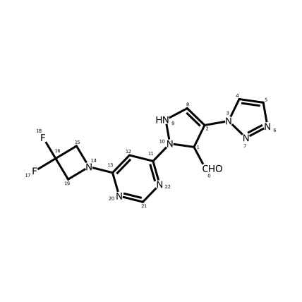 O=CC1C(n2ccnn2)=CNN1c1cc(N2CC(F)(F)C2)ncn1